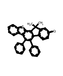 CC1(C)c2cc(Cl)ccc2-c2c(-c3ccccc3)c(-c3ccccc3)c3c(sc4ccccc43)c21